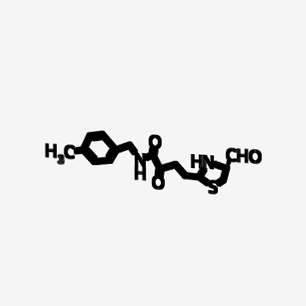 Cc1ccc(CNC(=O)C(=O)CCC2N[C@H](C=O)CS2)cc1